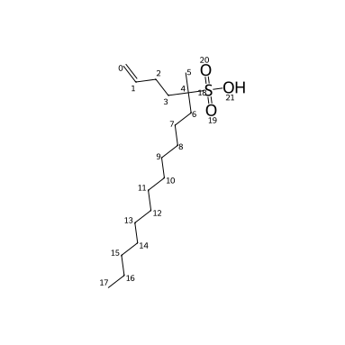 C=CCCC(C)(CCCCCCCCCCCC)S(=O)(=O)O